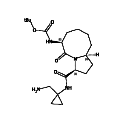 CC(C)(C)OC(=O)N[C@H]1CCCC[C@H]2CC[C@@H](C(=O)NC3(CN)CC3)N2C1=O